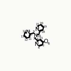 COc1ccnc(CN(Cc2ccccn2)Cc2ccccn2)c1